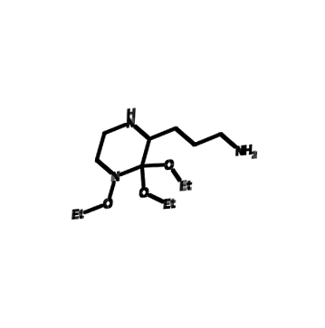 CCON1CCNC(CCCN)C1(OCC)OCC